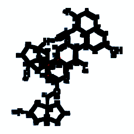 C#Cc1c(F)ccc2cc(O)cc(-c3ncc4c(N5[C@@H]6CC[C@H]5CS(=O)(=O)C6)nc(OC[C@@]56CCCN5C[C@H](F)C6)nc4c3F)c12